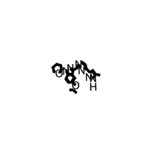 Cc1cc(-c2ccnc(-c3nn(C4CCCCO4)c4ccc(OC(C)C)cc34)n2)n[nH]1